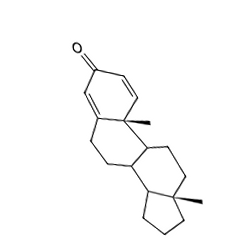 C[C@@]12CCCC1C1CCC3=CC(=O)C=C[C@]3(C)C1CC2